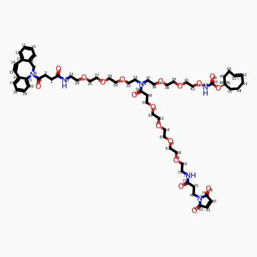 O=C(CCC(=O)N1Cc2ccccc2C#Cc2ccccc21)NCCOCCOCCOCCN(CCOCCOCCONC(=O)O[C@H]1CC/C=C/CCC1)C(=O)CCOCCOCCOCCOCCNC(=O)CCN1C(=O)C=CC1=O